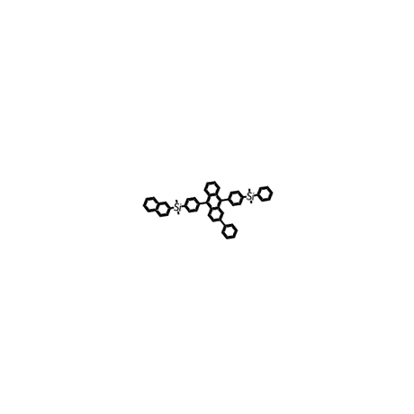 C[Si](C)(c1ccccc1)c1ccc(-c2c3ccccc3c(-c3ccc([Si](C)(C)c4ccc5ccccc5c4)cc3)c3ccc(-c4ccccc4)cc23)cc1